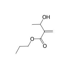 C=C(C(=O)OCCC)C(C)O